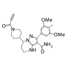 C#CC(=O)N1CCC(C2CCNc3c(C(N)=O)c(-c4cc(OC)c(C)c(OC)c4)nn32)CC1